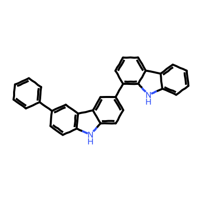 c1ccc(-c2ccc3[nH]c4ccc(-c5cccc6c5[nH]c5ccccc56)cc4c3c2)cc1